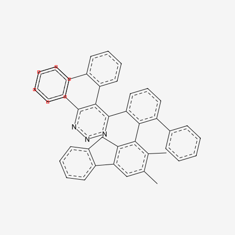 Cc1cc2c(c(-c3c(-c4ccccc4)cccc3-c3nnnc(-c4ccccc4)c3-c3ccccc3-c3ccccc3)c1C)Cc1ccccc1-2